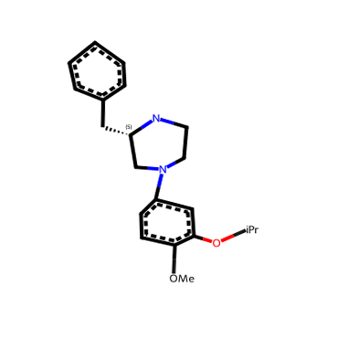 COc1ccc(N2CC[N][C@@H](Cc3ccccc3)C2)cc1OC(C)C